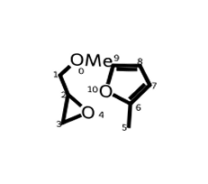 COCC1CO1.Cc1ccco1